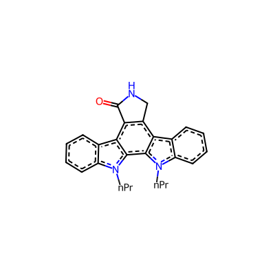 CCCn1c2ccccc2c2c3c(c4c5ccccc5n(CCC)c4c21)C(=O)NC3